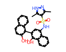 Cc1n[nH]c(C)c1S(=O)(=O)Nc1cc(-c2c(O)ccc3ccccc23)c(O)c2ccccc12